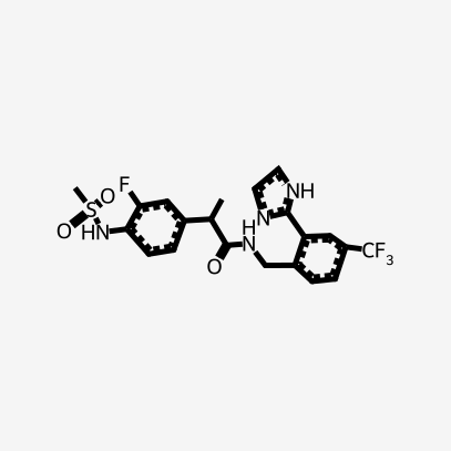 CC(C(=O)NCc1ccc(C(F)(F)F)cc1-c1ncc[nH]1)c1ccc(NS(C)(=O)=O)c(F)c1